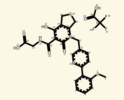 CSc1ccccc1-c1ccc(Cn2c3c(c(O)c(C(=O)NCC(=O)O)c2=O)CSC3)cn1.O=C(O)C(F)(F)F